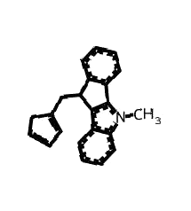 Cn1c2c(c3ccccc31)C(CC1=CC=CC1)c1ccccc1-2